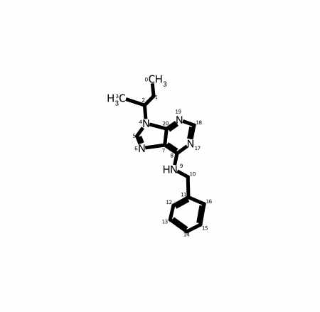 CCC(C)n1cnc2c(NCc3ccccc3)ncnc21